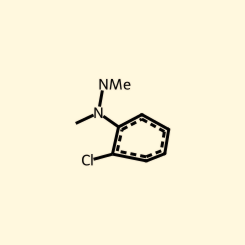 CNN(C)c1ccccc1Cl